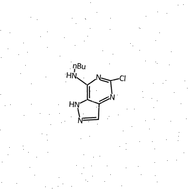 CCCCNc1nc(Cl)nc2cn[nH]c12